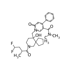 CC(CC(F)F)C(=O)N1CCC(O)(Cn2cc(C(=O)N(C)C)c(-c3ccccc3)cc2=O)C2(CCCC2)C1